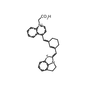 O=C(O)C[n+]1ccc(/C=C2C=C(/C=C3\Sc4cccc5c4N3CC5)CCC/2)c2ccccc21